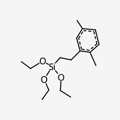 CCO[Si](CCc1cc(C)ccc1C)(OCC)OCC